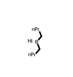 CCCC[B]CCCC.I